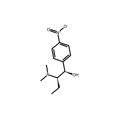 CC[C@H]([C@H](O)c1ccc([N+](=O)[O-])cc1)N(C)C